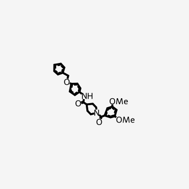 COc1cc(OC)cc(C(=O)N2CCC(C(=O)Nc3ccc(OCc4ccccc4)cc3)CC2)c1